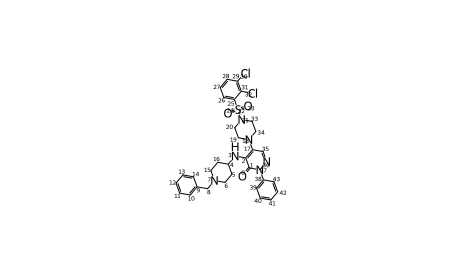 O=c1c(NC2CCN(Cc3ccccc3)CC2)c(N2CCN(S(=O)(=O)c3cccc(Cl)c3Cl)CC2)cnn1-c1ccccc1